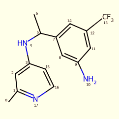 Cc1cc(NC(C)c2cc(N)cc(C(F)(F)F)c2)ccn1